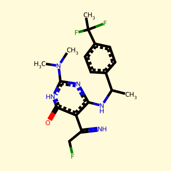 CC(Nc1nc(N(C)C)[nH]c(=O)c1C(=N)CF)c1ccc(C(C)(F)F)cc1